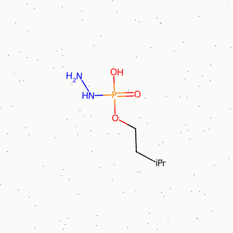 CC(C)CCOP(=O)(O)NN